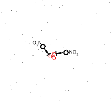 CC(C)(C#Cc1ccc([N+](=O)[O-])cc1)OC(=O)OC(C)(C)C#Cc1ccc([N+](=O)[O-])cc1